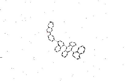 c1ccc2cc3c(cc2c1)oc1ccc(-c2ccc(-c4c5ccccc5c(-c5cccc6ccccc56)c5ccccc45)c4ccccc24)cc13